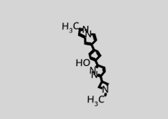 CCN1CC(c2ccc(-c3ccc(-c4ccn5nc(C)cc5c4)cc3O)nn2)C1